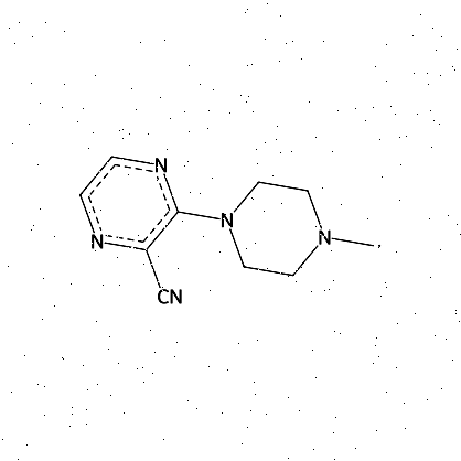 [CH2]N1CCN(c2nccnc2C#N)CC1